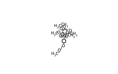 CCOCCOc1ccc(S(=O)(=O)N[C@@H](C(=O)OC)[C@H]2OC(C)(C)O[C@@H]2[C@@H]2COC(C)(C)O2)cc1